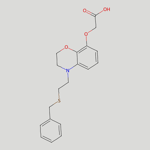 O=C(O)COc1cccc2c1OCCN2CCSCc1ccccc1